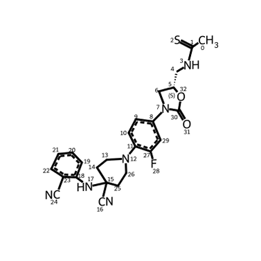 CC(=S)NC[C@H]1CN(c2ccc(N3CCC(C#N)(Nc4ccccc4C#N)CC3)c(F)c2)C(=O)O1